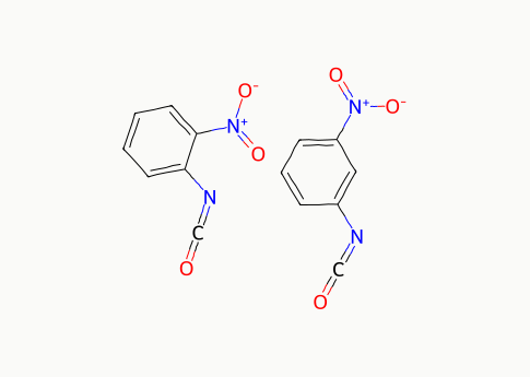 O=C=Nc1cccc([N+](=O)[O-])c1.O=C=Nc1ccccc1[N+](=O)[O-]